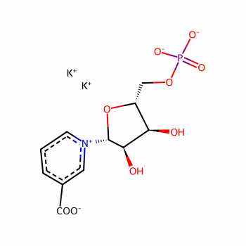 O=C([O-])c1ccc[n+]([C@@H]2O[C@H](COP(=O)([O-])[O-])[C@@H](O)[C@H]2O)c1.[K+].[K+]